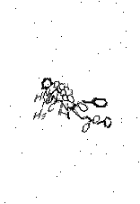 C[C@H](NC(=O)C1(C)Oc2ccccc2NC1=O)C(=O)N[C@H](CCC(=O)OCc1ccccc1)C(=O)OCc1ccccc1